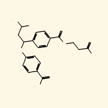 C=C(C)c1ccc(OC(CC(C)C)c2ccc(C(=O)NCCC(=O)O)cc2)cc1